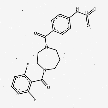 O=C(c1ccc(N[SH](=O)=O)cc1)N1CCCN(C(=O)c2c(F)cccc2F)CC1